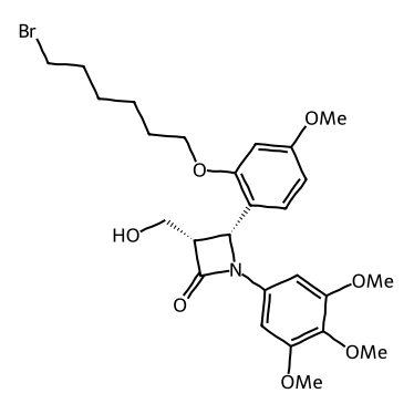 COc1ccc([C@H]2[C@@H](CO)C(=O)N2c2cc(OC)c(OC)c(OC)c2)c(OCCCCCCBr)c1